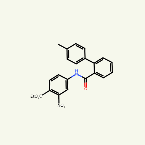 CCOC(=O)c1ccc(NC(=O)c2ccccc2-c2ccc(C)cc2)cc1[N+](=O)[O-]